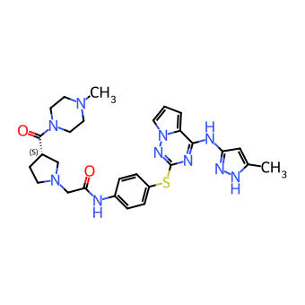 Cc1cc(Nc2nc(Sc3ccc(NC(=O)CN4CC[C@H](C(=O)N5CCN(C)CC5)C4)cc3)nn3cccc23)n[nH]1